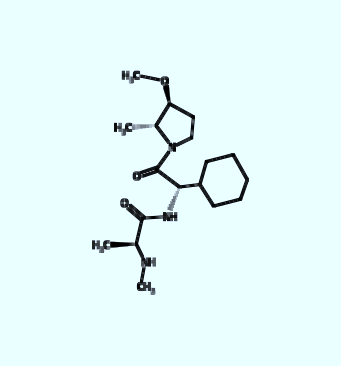 CN[C@@H](C)C(=O)N[C@H](C(=O)N1CC[C@H](OC)[C@H]1C)C1CCCCC1